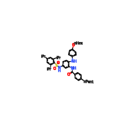 CCCCCCOc1ccc(Nc2ccc(NS(=O)(=O)c3c(C(C)C)cc(C(C)C)cc3C(C)C)cc2NC(=O)c2ccc(CCCCC)cc2)cc1